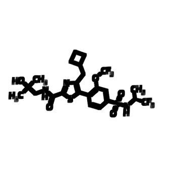 C[C@H](NS(=O)(=O)c1ccc(-c2sc(C(=O)NCC(C)(C)O)nc2CC2CCC2)c(OC(F)(F)F)c1)C(F)(F)F